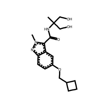 Cn1nc2ccc(OCC3CCC3)cc2c1C(=O)NC(C)(CO)CO